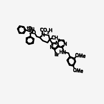 COc1ccc(CNc2nccn3c(C4(C)CCC(CO[Si](c5ccccc5)(c5ccccc5)C(C)(C)C)N(C(=O)O)C4)nc(Br)c23)c(OC)c1